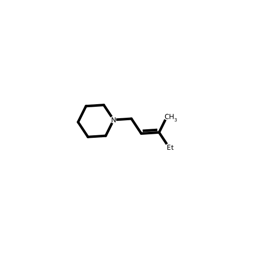 CCC(C)=CCN1CCCCC1